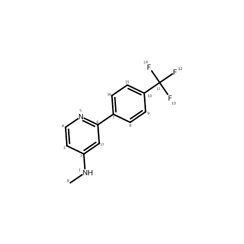 CNc1ccnc(-c2ccc(C(F)(F)F)cc2)c1